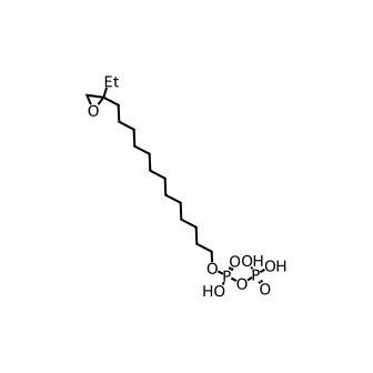 CCC1(CCCCCCCCCCCCCOP(=O)(O)OP(=O)(O)O)CO1